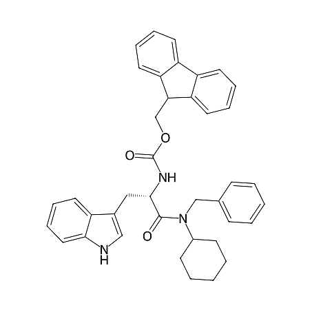 O=C(N[C@@H](Cc1c[nH]c2ccccc12)C(=O)N(Cc1ccccc1)C1CCCCC1)OCC1c2ccccc2-c2ccccc21